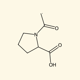 [CH2]C(=O)N1CCCC1C(=O)O